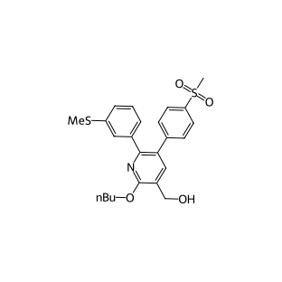 CCCCOc1nc(-c2cccc(SC)c2)c(-c2ccc(S(C)(=O)=O)cc2)cc1CO